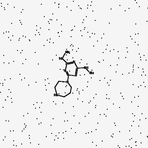 CC(C)(C)Nc1cc(N2CCCNCC2)nc(NC(C)(C)C)n1